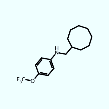 FC(F)(F)Oc1ccc(NCC2CCCCCCC2)cc1